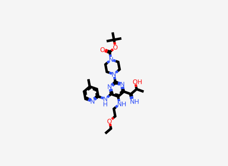 CCOCCNc1c(Nc2cc(C)ccn2)nc(N2CCN(C(=O)OC(C)(C)C)CC2)nc1C(=N)C(C)O